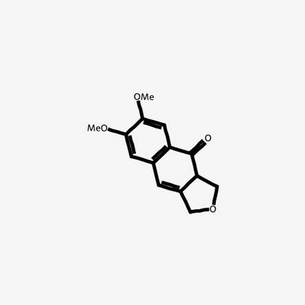 COc1cc2c(cc1OC)C(=O)C1COCC1=C2